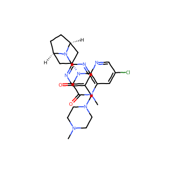 CN1CCN(Cc2cnc(N3[C@@H]4CC[C@H]3C[C@H](n3c(=O)c(=O)n(C)c5cc(Cl)cnc53)C4)nc2)CC1